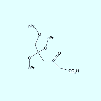 CCCOCC(CC(=O)CC(=O)O)(OCCC)OCCC